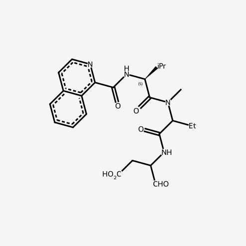 CCC(C(=O)NC(C=O)CC(=O)O)N(C)C(=O)[C@@H](NC(=O)c1nccc2ccccc12)C(C)C